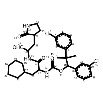 CC(C)(c1cccc(Cl)c1)C(OC(=O)NC(CC1CCCCC1)C(=O)NC(C=O)CC1CCNC1=O)c1cccc(Cl)c1